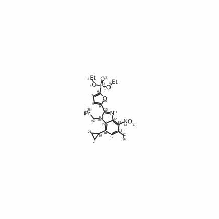 CCOP(=O)(OCC)c1ccc(-c2nc3c([N+](=O)[O-])c(F)cc(C4CC4)c3n2CC(C)C)o1